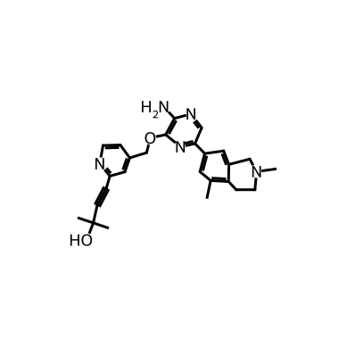 Cc1cc(-c2cnc(N)c(OCc3ccnc(C#CC(C)(C)O)c3)n2)cc2c1CCN(C)C2